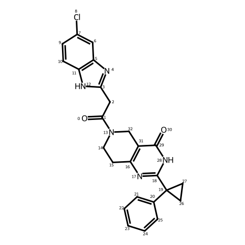 O=C(Cc1nc2cc(Cl)ccc2[nH]1)N1CCc2nc(C3(c4ccccc4)CC3)[nH]c(=O)c2C1